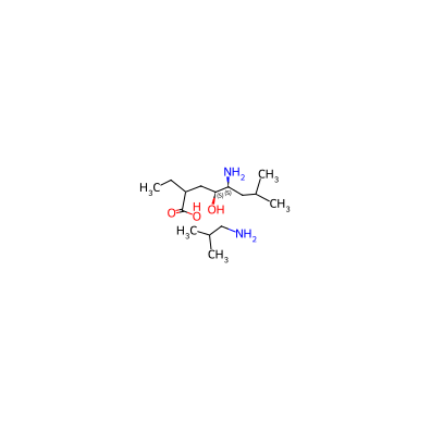 CC(C)CN.CCC(C[C@H](O)[C@@H](N)CC(C)C)C(=O)O